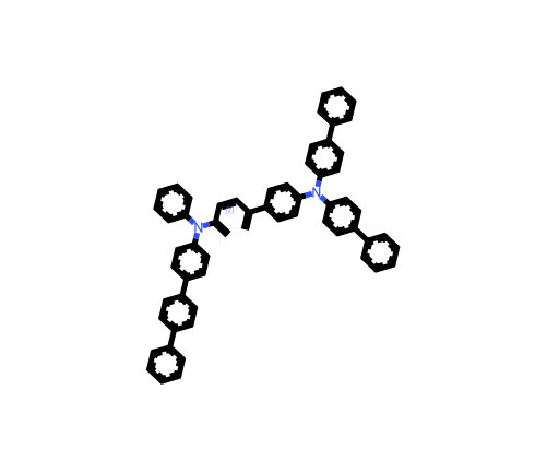 C=C(/C=C\C(=C)N(c1ccccc1)c1ccc(-c2ccc(-c3ccccc3)cc2)cc1)c1ccc(N(c2ccc(-c3ccccc3)cc2)c2ccc(-c3ccccc3)cc2)cc1